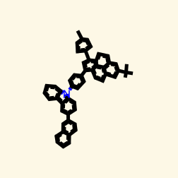 Cc1ccc(-c2cc(-c3ccc(-n4c5ccccc5c5cc(-c6ccc7ccccc7c6)ccc54)cc3)c3ccc4cc(C(C)(C)C)cc5ccc2c3c54)cc1